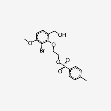 COc1ccc(CO)c(OCCOS(=O)(=O)c2ccc(C)cc2)c1Br